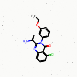 CC(N)c1nc2cccc(Cl)c2c(=O)n1-c1cccc(OCC(F)(F)F)c1